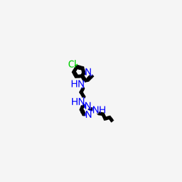 CCCCCNc1nccc(NCCCNc2ccnc3cc(Cl)ccc23)n1